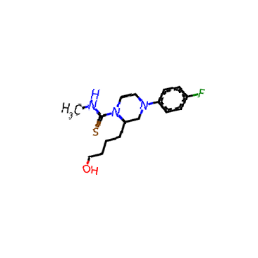 CNC(=S)N1CCN(c2ccc(F)cc2)CC1CCCCO